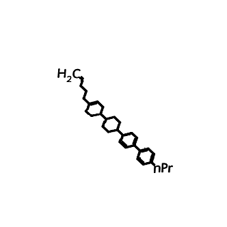 C=CCCCC1=CCC(C2CCC(c3ccc(-c4ccc(CCC)cc4)cc3)CC2)CC1